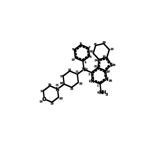 Nc1nc(N(c2ccccc2)C2CCC(N3CCOCC3)CC2)c2c3c(sc2n1)CCCC3